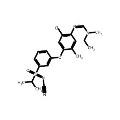 CCN(C)/C=N\c1cc(C)c(Oc2cccc(S(=O)(=NC#N)C(C)C)c2)cc1Cl